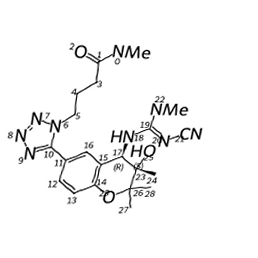 CNC(=O)CCCn1nnnc1-c1ccc2c(c1)[C@@H](NC(=NC#N)NC)[C@](C)(O)C(C)(C)O2